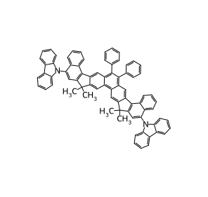 CC1(C)c2cc3c(cc2-c2c1cc(-n1c4ccccc4c4ccccc41)c1ccccc21)c(-c1ccccc1)c(-c1ccccc1)c1cc2c(cc13)C(C)(C)c1cc(-n3c4ccccc4c4ccccc43)c3ccccc3c1-2